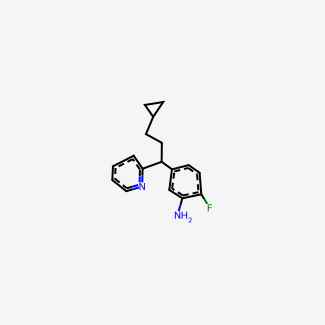 Nc1cc(C(CCC2CC2)c2ccccn2)ccc1F